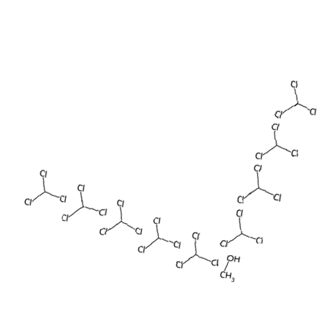 CO.ClC(Cl)Cl.ClC(Cl)Cl.ClC(Cl)Cl.ClC(Cl)Cl.ClC(Cl)Cl.ClC(Cl)Cl.ClC(Cl)Cl.ClC(Cl)Cl.ClC(Cl)Cl